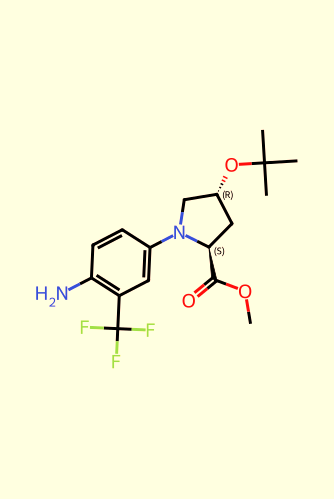 COC(=O)[C@@H]1C[C@@H](OC(C)(C)C)CN1c1ccc(N)c(C(F)(F)F)c1